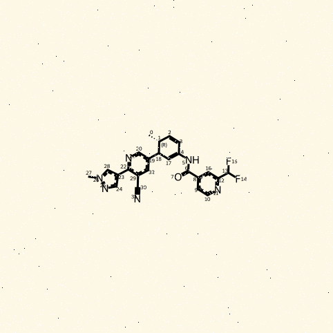 C[C@@H]1C=CC(NC(=O)c2ccnc(C(F)F)c2)=CC1c1cnc(-c2cnn(C)c2)c(C#N)c1